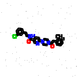 Cc1ccccc1CC(=O)N1CCN(c2ccc(C(=O)NCCc3cccc(Cl)c3)cn2)CC1